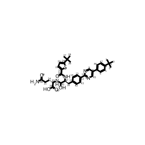 CC(C)(C)c1ccc(-c2cnc(-c3ccc(C[C@H](NC(=O)c4ccc(C(C)(C)C)s4)C(O)N[C@@H](CCC(N)=O)C(=O)O)cc3)nc2)cc1